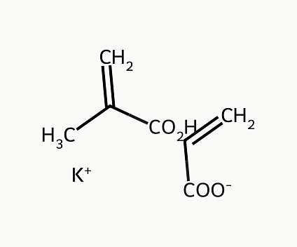 C=C(C)C(=O)O.C=CC(=O)[O-].[K+]